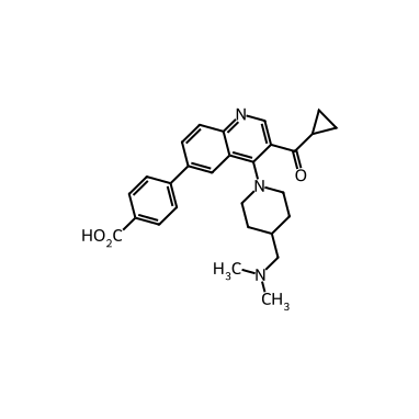 CN(C)CC1CCN(c2c(C(=O)C3CC3)cnc3ccc(-c4ccc(C(=O)O)cc4)cc23)CC1